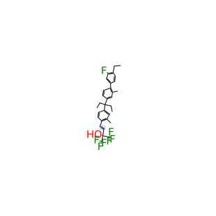 CCc1ccc(-c2ccc(C(CC)(CC)c3ccc(/C=C/C(O)(C(F)(F)F)C(F)(F)F)c(C)c3)cc2C)cc1F